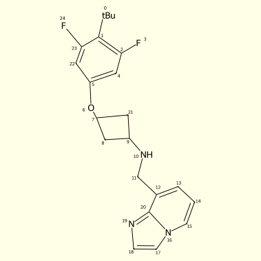 CC(C)(C)c1c(F)cc(OC2CC(NCc3cccn4ccnc34)C2)cc1F